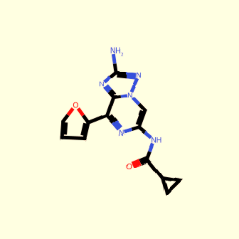 Nc1nc2c(-c3ccco3)nc(NC(=O)C3CC3)cn2n1